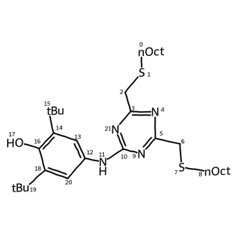 CCCCCCCCSCc1nc(CSCCCCCCCC)nc(Nc2cc(C(C)(C)C)c(O)c(C(C)(C)C)c2)n1